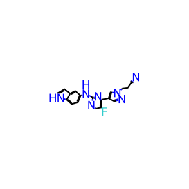 N#CCCn1cc(-c2nc(Nc3ccc4[nH]ccc4c3)ncc2F)cn1